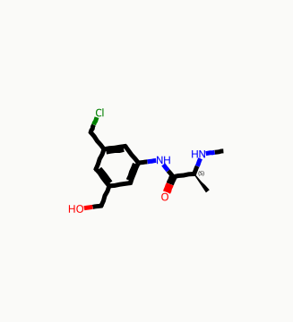 CN[C@@H](C)C(=O)Nc1cc(CO)cc(CCl)c1